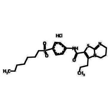 CCCCCCCS(=O)(=O)c1ccc(NC(=O)C2=C(CCC)N3CCCN=C3S2)cc1.Cl